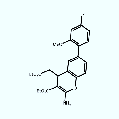 CCOC(=O)CC1C(C(=O)OCC)=C(N)Oc2ccc(-c3ccc(C(C)C)cc3OC)cc21